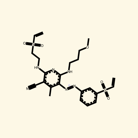 C=CS(=O)(=O)CCNc1nc(NCCCOC)c(/N=N/c2cccc(S(=O)(=O)C=C)c2)c(C)c1C#N